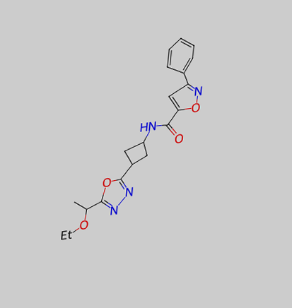 CCOC(C)c1nnc(C2CC(NC(=O)c3cc(-c4ccccc4)no3)C2)o1